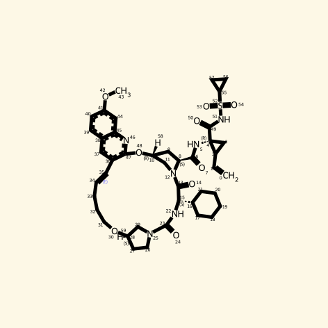 C=CC1C[C@]1(NC(=O)[C@@H]1C[C@@H]2CN1C(=O)[C@H](C1CCCCC1)NC(=O)N1CC[C@@H](C1)OCCC/C=C/c1cc3ccc(OC)cc3nc1O2)C(=O)NS(=O)(=O)C1CC1